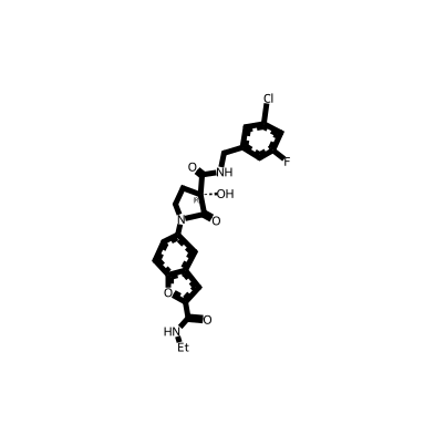 CCNC(=O)c1cc2cc(N3CC[C@@](O)(C(=O)NCc4cc(F)cc(Cl)c4)C3=O)ccc2o1